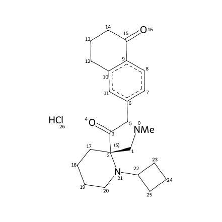 CNC[C@]1(C(=O)Cc2ccc3c(c2)CCCC3=O)CCCCN1C1CCC1.Cl